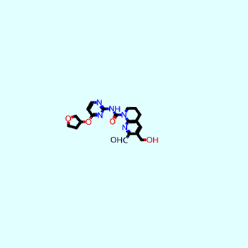 O=Cc1nc2c(cc1CO)CCCN2C(=O)Nc1nccc(OC2CCOC2)n1